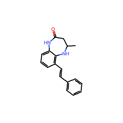 CC1CC(=O)Nc2cccc(C=Cc3ccccc3)c2N1